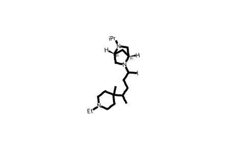 CCN1CCC(C)(C(C)CCC(I)N2C[C@H]3C[C@@H]2CN3C(C)C)CC1